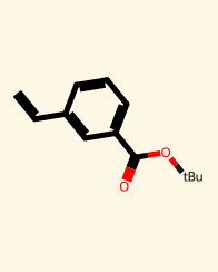 C=Cc1cccc(C(=O)OC(C)(C)C)c1